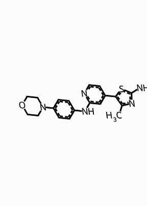 Cc1nc(N)sc1-c1ccnc(Nc2ccc(N3CCOCC3)cc2)c1